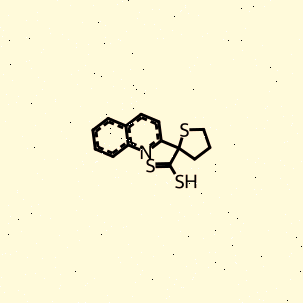 S=C(S)C1(c2ccc3ccccc3n2)CCCS1